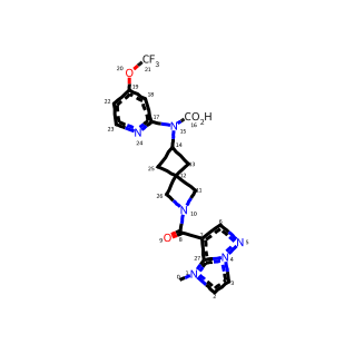 Cn1ccn2ncc(C(=O)N3CC4(CC(N(C(=O)O)c5cc(OC(F)(F)F)ccn5)C4)C3)c12